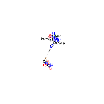 COc1cc(N2CCN(CCCCCCCCCCCSc3cccc4c3C(=O)N(C3CCC(=O)NC3=O)C4=O)CC2)ccc1Nc1ncc(Cl)c(Nc2ccccc2P(=O)(OC)OC)n1